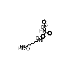 O=C(CCCCCCC(=O)Nc1ccc(C(NCC(=O)OC2CCCC2)c2ccccc2)cc1)NO